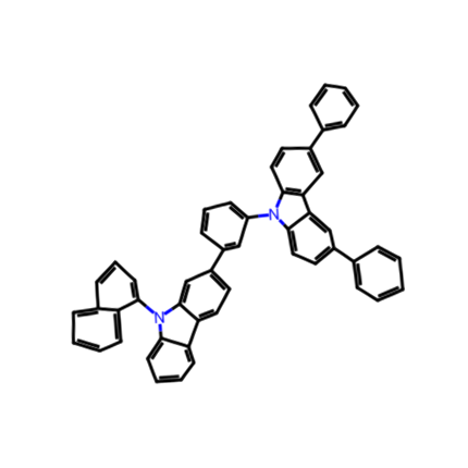 c1ccc(-c2ccc3c(c2)c2cc(-c4ccccc4)ccc2n3-c2cccc(-c3ccc4c5ccccc5n(-c5cccc6ccccc56)c4c3)c2)cc1